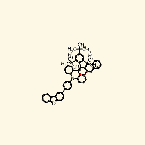 CC(C)(C)c1cc(C(C)(C)C)c2c(c1)C(C)(C)c1cccc(-c3ccccc3N(c3ccc(-c4ccc5oc6ccccc6c5c4)cc3)c3cccc(-c4ccc5ccccc5c4)c3)c1-2